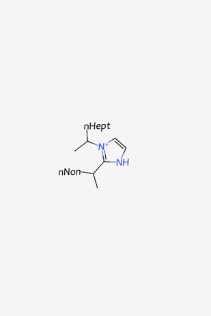 CCCCCCCCCC(C)c1[nH]cc[n+]1C(C)CCCCCCC